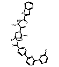 CC(C)(C)[C@H](NC(=O)c1cc2ccccc2[nH]1)C(=O)N1C[C@@H]2C[C@H]1CN2C(=O)c1ccc(-c2cccc(-c3cccc(Cl)n3)n2)cn1